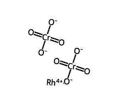 [O]=[Cr](=[O])([O-])[O-].[O]=[Cr](=[O])([O-])[O-].[Rh+4]